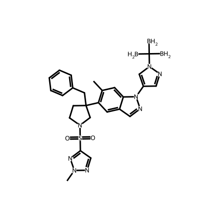 BC(B)(B)n1cc(-n2ncc3cc(C4(Cc5ccccc5)CCN(S(=O)(=O)c5cnn(C)n5)C4)c(C)cc32)cn1